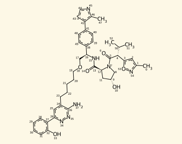 Cc1cc([C@H](C(=O)N2C[C@H](O)C[C@H]2C(=O)N[C@@H](COCCCCCc2cc(-c3ccccc3O)nnc2N)c2ccc(-c3scnc3C)cc2)C(C)C)on1